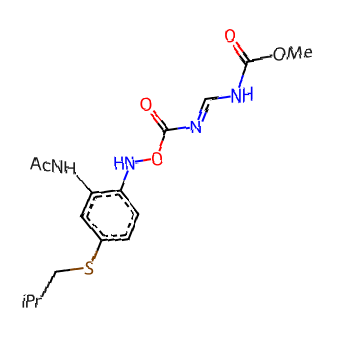 COC(=O)NC=NC(=O)ONc1ccc(SCC(C)C)cc1NC(C)=O